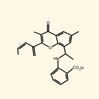 C=C(/C=C\C)c1oc2c(C(C)Nc3ccccc3C(=O)O)cc(C)cc2c(=O)c1C